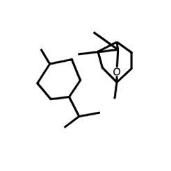 CC12CCC(CC1)C(C)(C)O2.CC1CCC(C(C)C)CC1